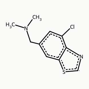 CN(C)Cc1cc(Cl)c2n[c]sc2c1